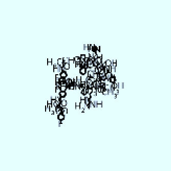 CC(C)C(=O)Nc1ccc([N+](=O)[O-])c(C(F)(F)F)c1.CC(C)C[C@H](NC(=O)[C@@H](COC(C)(C)C)NC(=O)[C@H](Cc1ccc(O)cc1)NC(=O)[C@H](CO)NC(=O)[C@H](Cc1c[nH]c2ccccc12)NC(=O)[C@H](Cc1c[nH]cn1)NC(=O)[C@@H]1CCC(=O)N1)C(=O)N[C@@H](CCCNC(=N)N)C(=O)N1CCC[C@H]1C(=O)NNC(N)=O.CC(O)(CS(=O)(=O)c1ccc(F)cc1)C(=O)Nc1ccc(C#N)c(C(F)(F)F)c1